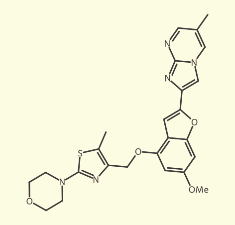 COc1cc(OCc2nc(N3CCOCC3)sc2C)c2cc(-c3cn4cc(C)cnc4n3)oc2c1